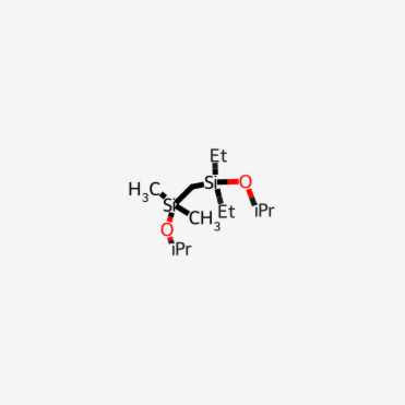 CC[Si](CC)(C[Si](C)(C)OC(C)C)OC(C)C